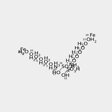 N.N.O.O.O.O.O.O.O.O.O.O.O.O.O=S(=O)(O)O.O=S(=O)(O)O.[Fe].[Fe]